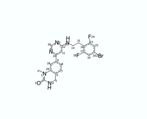 CN1C(=O)NCc2ccc(-c3cc(NCCc4c(F)cc(Br)cc4F)ncn3)cc21